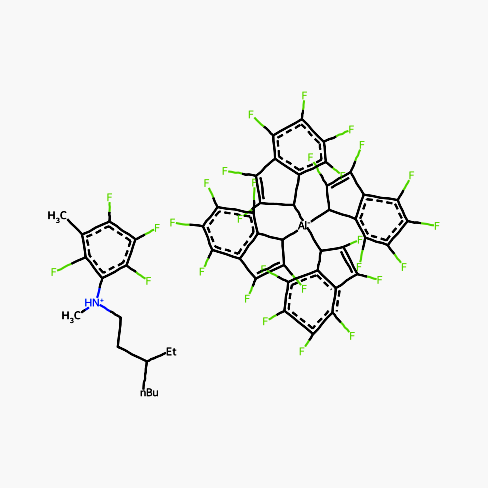 CCCCC(CC)CC[NH+](C)c1c(F)c(C)c(F)c(F)c1F.FC1=C(F)[CH]([Al-]([CH]2C(F)=C(F)c3c(F)c(F)c(F)c(F)c32)([CH]2C(F)=C(F)c3c(F)c(F)c(F)c(F)c32)[CH]2C(F)=C(F)c3c(F)c(F)c(F)c(F)c32)c2c(F)c(F)c(F)c(F)c21